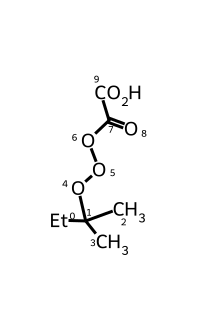 CCC(C)(C)OOOC(=O)C(=O)O